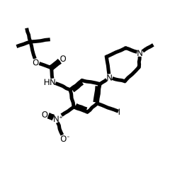 CN1CCN(c2cc(NC(=O)OC(C)(C)C)c([N+](=O)[O-])cc2I)CC1